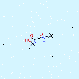 CC(C)(C)CCNC(=O)CC[C@H](NC(C)(C)C)C(=O)O